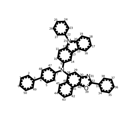 c1ccc(-c2ccc(N(c3ccc4c(c3)c3ccccc3n4-c3ccccc3)c3cc4nc(-c5ccccc5)oc4c4ccccc34)cc2)cc1